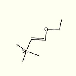 CCOC=[CH][Sn]([CH3])([CH3])[CH3]